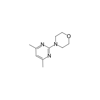 Cc1cc(C)nc(N2CCOCC2)n1